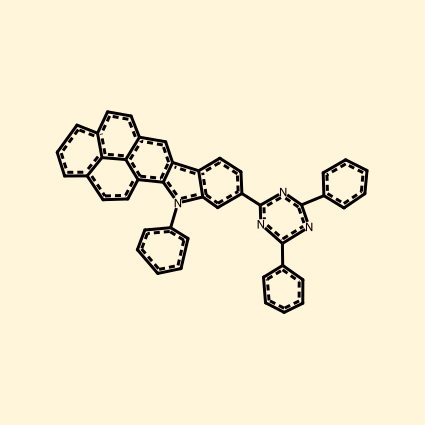 c1ccc(-c2nc(-c3ccccc3)nc(-c3ccc4c5cc6ccc7cccc8ccc(c6c78)c5n(-c5ccccc5)c4c3)n2)cc1